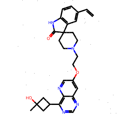 C=Cc1ccc2c(c1)C1(CCN(CCOc3cnc4c(C5CC(C)(O)C5)ncnc4c3)CC1)C(=O)N2